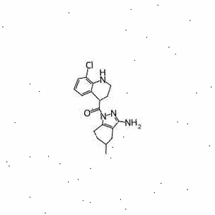 CC1CCc2c(c(N)nn2C(=O)C2CCNc3c(Cl)cccc32)C1